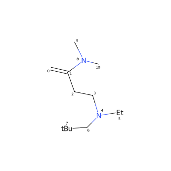 C=C(CCN(CC)CC(C)(C)C)N(C)C